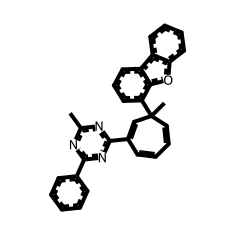 Cc1nc(C2=CC(C)(c3cccc4c3oc3ccccc34)C=CC=C2)nc(-c2ccccc2)n1